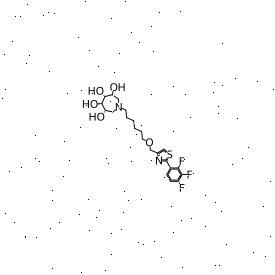 O[C@H]1[C@H](O)[C@@H](O)CN(CCCCCCOCc2csc(-c3ccc(F)c(F)c3F)n2)C[C@@H]1O